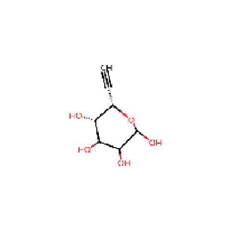 C#C[C@@H]1OC(O)C(O)C(O)[C@@H]1O